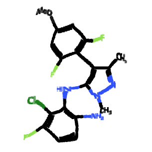 COc1cc(F)c(-c2c(C)nn(C)c2Nc2c(N)ccc(F)c2Cl)c(F)c1